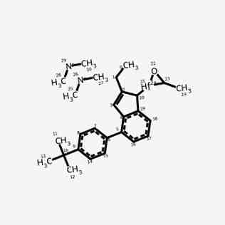 CCC1=Cc2c(-c3ccc(C(C)(C)C)cc3)cccc2[CH]1[Hf+2]1[O][CH]1C.C[N-]C.C[N-]C